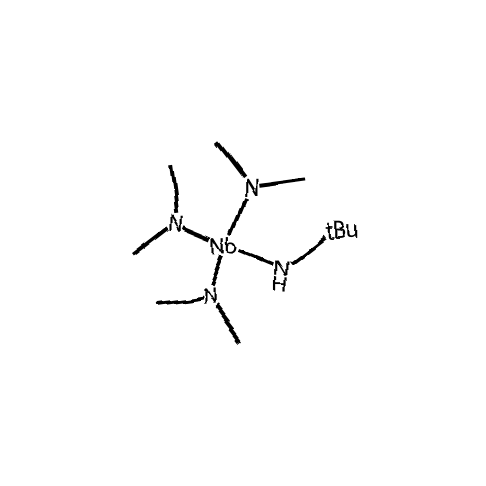 C[N](C)[Nb]([NH]C(C)(C)C)([N](C)C)[N](C)C